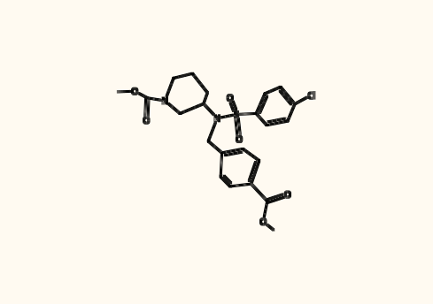 COC(=O)c1ccc(CN(C2CCCN(C(=O)OC)C2)S(=O)(=O)c2ccc(Cl)cc2)cc1